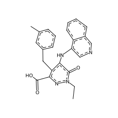 CCn1nc(C(=O)O)c(Cc2cccc(C)c2)c(Nc2cncc3ccccc23)c1=O